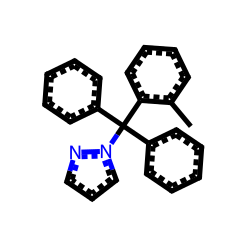 Cc1ccccc1C(c1ccccc1)(c1ccccc1)n1cccn1